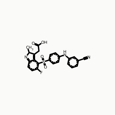 CC1N=c2ccc(F)c(S(=O)(=O)c3ccc(Nc4cccc(C#N)c4)cc3)c2=C1CC(=O)O